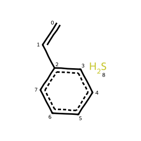 C=Cc1ccccc1.S